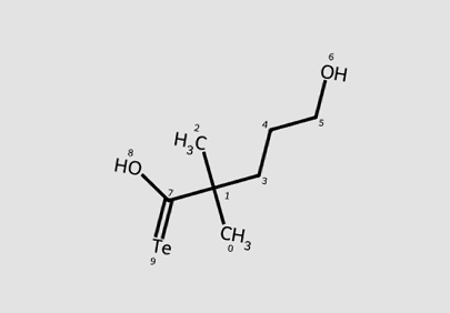 CC(C)(CCCO)C(O)=[Te]